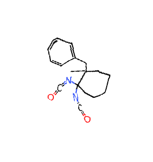 CC1(Cc2ccccc2)CCCCC1(N=C=O)N=C=O